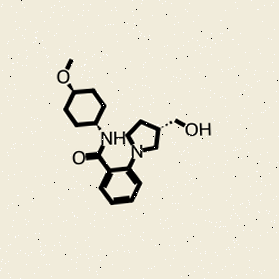 CO[C@H]1CC[C@H](NC(=O)c2ccccc2N2CC[C@H](CO)C2)CC1